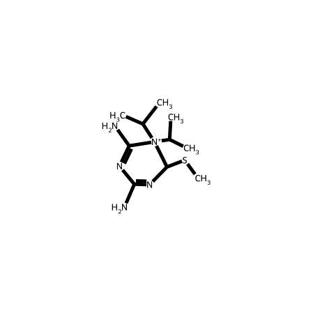 CSC1N=C(N)N=C(N)[N+]1(C(C)C)C(C)C